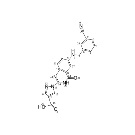 N#Cc1cccc(CNc2ccc3nc(-n4cc(C(=O)O)cn4)[nH]c(=O)c3c2)c1